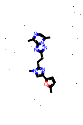 Cc1ccc(-c2cn(C)c(CCc3nc4c(C)ncc(C)n4n3)n2)o1